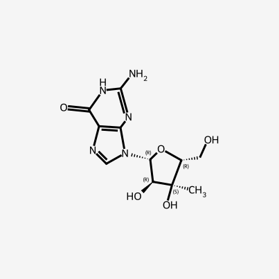 C[C@@]1(O)[C@@H](CO)O[C@@H](n2cnc3c(=O)[nH]c(N)nc32)[C@@H]1O